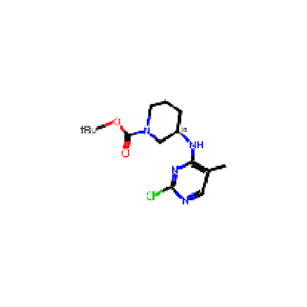 Cc1cnc(Cl)nc1N[C@@H]1CCCN(C(=O)OC(C)(C)C)C1